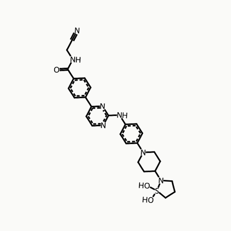 N#CCNC(=O)c1ccc(-c2ccnc(Nc3ccc(N4CCC(N5CCCS5(O)O)CC4)cc3)n2)cc1